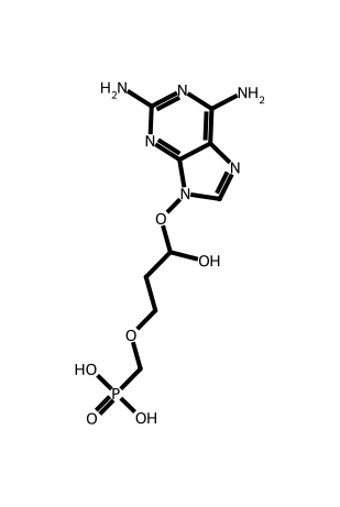 Nc1nc(N)c2ncn(OC(O)CCOCP(=O)(O)O)c2n1